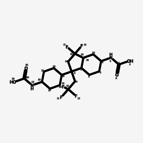 O=C(O)NC1CCC(C(CC(F)(F)F)(CC(F)(F)F)C2CCC(NC(=O)O)CC2)CC1